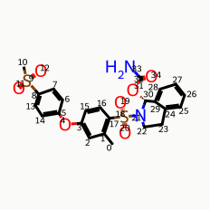 Cc1cc(Oc2ccc(S(C)(=O)=O)cc2)ccc1S(=O)(=O)N1CCc2ccccc2[C@H]1OC(N)=O